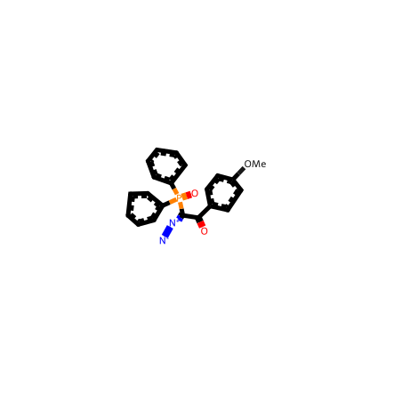 COc1ccc(C(=O)C(=[N+]=[N-])P(=O)(c2ccccc2)c2ccccc2)cc1